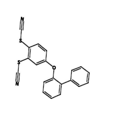 N#CSc1ccc(Oc2ccccc2-c2ccccc2)cc1SC#N